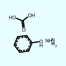 N.N.O=C(O)O.Oc1ccccc1